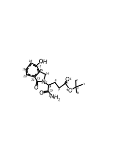 CC(C)(C)OC(=O)CCC(C(N)=O)N1Cc2c(O)cccc2C1=O